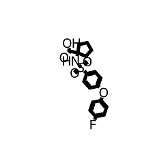 O=C(O)C1(NS(=O)(=O)c2ccc(Oc3ccc(F)cc3)cc2)CCCC1